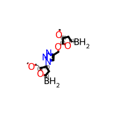 B[C@H]1C[C@@H](OC)[C@@H](OCc2cn([C@@H]3C[C@H](B)O[C@@H]3COC)nn2)O1